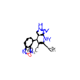 CCCC1=C(C(=O)O)C(c2cccc3nonc23)c2c[nH]nc2N1